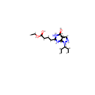 CCOC(=O)CCCc1nc2c(cnn2C(CC)CC)c(=O)[nH]1